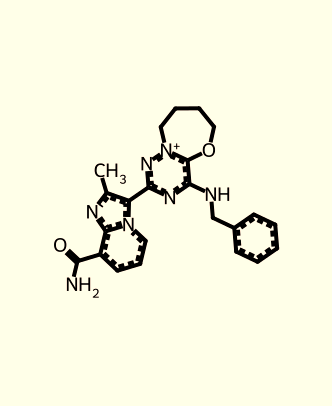 Cc1nc2c(C(N)=O)cccn2c1-c1nc(NCc2ccccc2)c2[n+](n1)CCCCO2